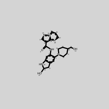 O=C(Nc1cc2c(cc1N1CCC(CO)CC1)CC(O)N2)c1cnn2cccnc12